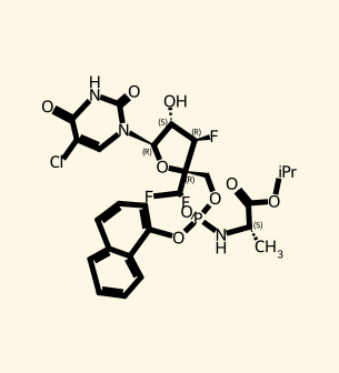 CC(C)OC(=O)[C@H](C)NP(=O)(OC[C@@]1(C(F)F)O[C@@H](n2cc(Cl)c(=O)[nH]c2=O)[C@H](O)[C@H]1F)Oc1cccc2ccccc12